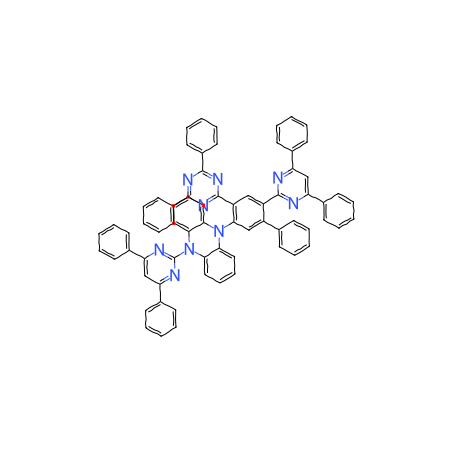 c1ccc(-c2cc(-c3ccccc3)nc(-c3cc(-c4nc(-c5ccccc5)nc(-c5ccccc5)n4)c(N4c5ccccc5N(c5nc(-c6ccccc6)cc(-c6ccccc6)n5)c5ccccc54)cc3-c3ccccc3)n2)cc1